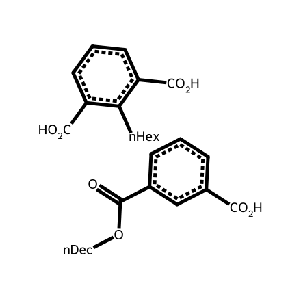 CCCCCCCCCCOC(=O)c1cccc(C(=O)O)c1.CCCCCCc1c(C(=O)O)cccc1C(=O)O